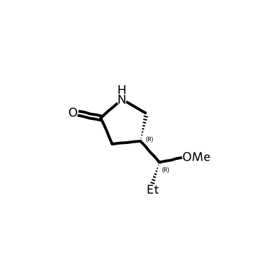 CC[C@@H](OC)[C@H]1CNC(=O)C1